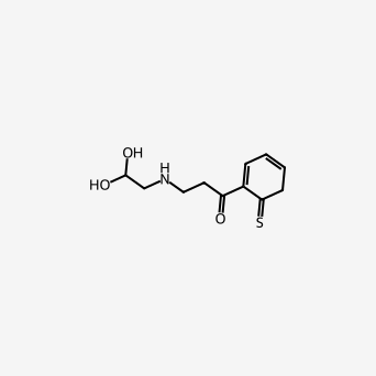 O=C(CCNCC(O)O)C1=CC=CCC1=S